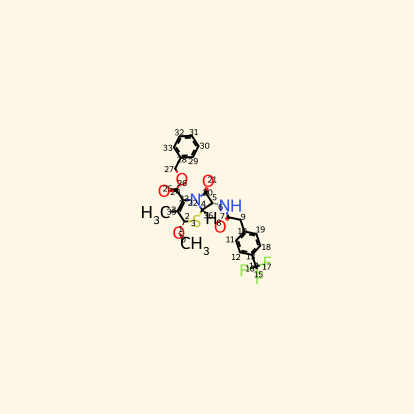 CO[C@H]1S[C@H]2[C@@H](NC(=O)Cc3ccc(C(F)(F)F)cc3)C(=O)N2C(C(=O)OCc2ccccc2)=C1C